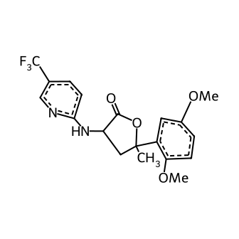 COc1ccc(OC)c(C2(C)CC(Nc3ccc(C(F)(F)F)cn3)C(=O)O2)c1